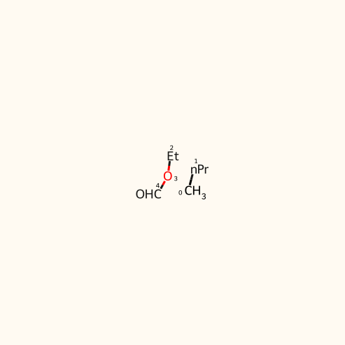 CCCC.CCOC=O